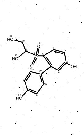 O=S(=O)(c1ccc(O)cc1-c1ccc(O)cc1)C(O)CO